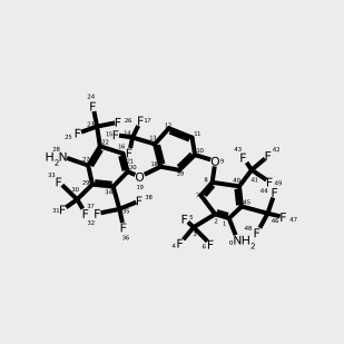 Nc1c(C(F)(F)F)cc(Oc2ccc(C(F)(F)F)c(Oc3cc(C(F)(F)F)c(N)c(C(F)(F)F)c3C(F)(F)F)c2)c(C(F)(F)F)c1C(F)(F)F